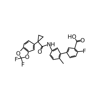 Cc1ccc(NC(=O)C2(c3ccc4c(c3)OC(F)(F)O4)CC2)cc1-c1ccc(F)c(C(=O)O)c1